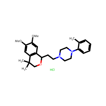 COc1cc2c(cc1OC)C(C)(C)COC2CCN1CCN(c2ccccc2C)CC1.Cl